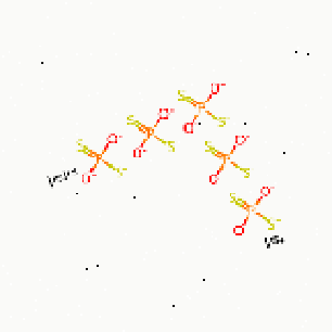 [O-]P([O-])(=S)[S-].[O-]P([O-])(=S)[S-].[O-]P([O-])(=S)[S-].[O-]P([O-])(=S)[S-].[O-]P([O-])(=S)[S-].[V+5].[V+5].[V+5]